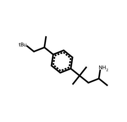 CC(N)CC(C)(C)c1ccc(C(C)CC(C)(C)C)cc1